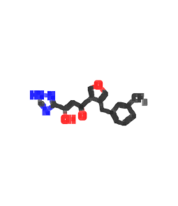 O=C(C=C(O)c1nc[nH]n1)c1cocc1Cc1cccc(C(F)(F)F)c1